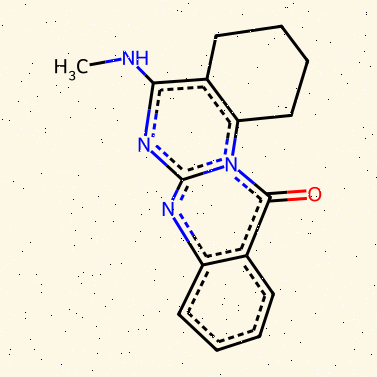 CNc1nc2nc3ccccc3c(=O)n2c2c1CCCC2